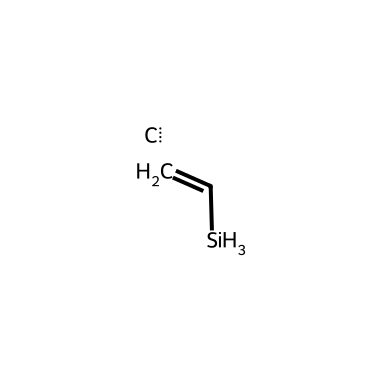 C=C[SiH3].[C]